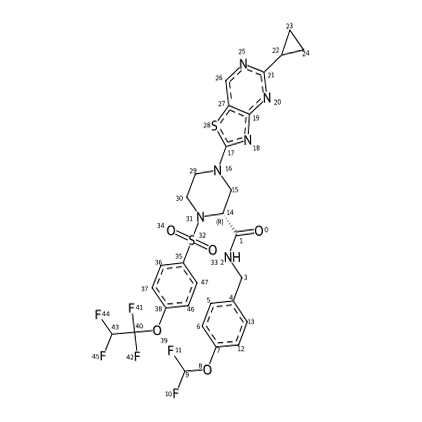 O=C(NCc1ccc(OC(F)F)cc1)[C@H]1CN(c2nc3nc(C4CC4)ncc3s2)CCN1S(=O)(=O)c1ccc(OC(F)(F)C(F)F)cc1